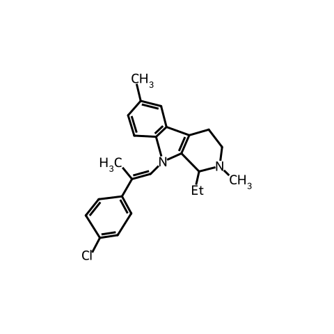 CCC1c2c(c3cc(C)ccc3n2C=C(C)c2ccc(Cl)cc2)CCN1C